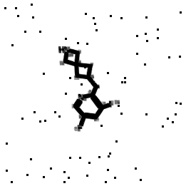 Fc1cnc(CC2CC3(CNC3)C2)c(F)c1